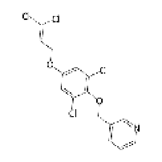 ClC(Cl)=CCOc1cc(Cl)c(OCc2cccnc2)c(Cl)c1